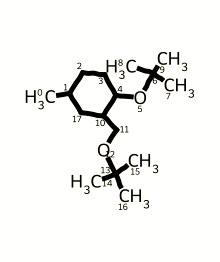 CC1CCC(OC(C)(C)C)C(COC(C)(C)C)C1